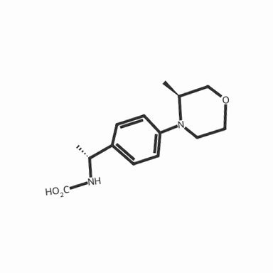 C[C@@H](NC(=O)O)c1ccc(N2CCOC[C@@H]2C)cc1